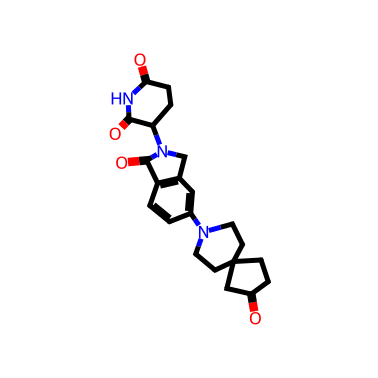 O=C1CCC2(CCN(c3ccc4c(c3)CN(C3CCC(=O)NC3=O)C4=O)CC2)C1